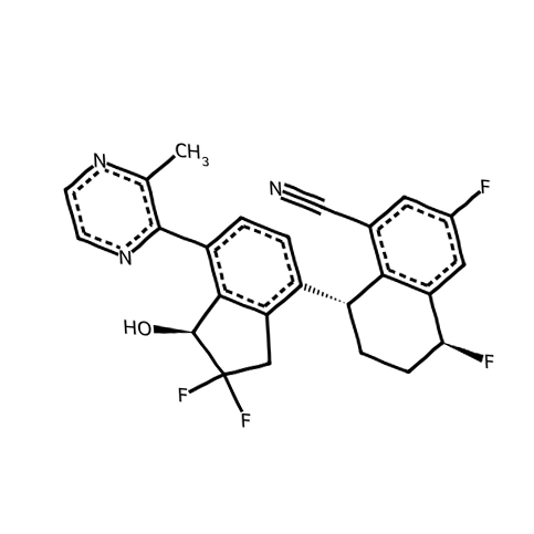 Cc1nccnc1-c1ccc([C@H]2CC[C@H](F)c3cc(F)cc(C#N)c32)c2c1[C@H](O)C(F)(F)C2